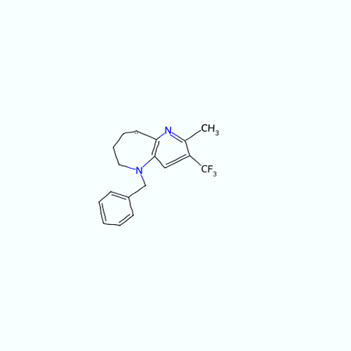 Cc1nc2c(cc1C(F)(F)F)N(Cc1ccccc1)CCC[C]2